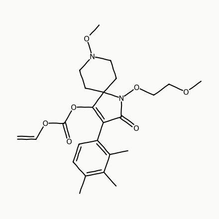 C=COC(=O)OC1=C(c2ccc(C)c(C)c2C)C(=O)N(OCCOC)C12CCN(OC)CC2